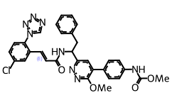 COC(=O)Nc1ccc(-c2cc(C(Cc3ccccc3)NC(=O)/C=C/c3cc(Cl)ccc3-n3cnnn3)nnc2OC)cc1